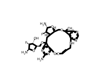 CC12OC[C@H]3O[C@@H](N)[C@H](F)[C@@H]3CC3(OC[C@H]4O[C@@H](N)[C@H](F)[C@@H]4O)c4nc(N)nc(c43)OC/C=C/CNc3ncnc1c32